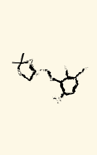 CC1(C)OC[C@@H](COc2c(N)ccc(F)c2F)O1